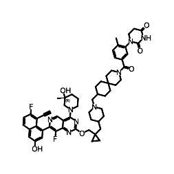 C#Cc1c(F)ccc2cc(O)cc(-c3ncc4c(N5CCC[C@@](C)(O)C5)nc(OCC5(CC6CCN(CC7CCC8(CC7)CCN(C(=O)c7ccc(C)c(N9CCC(=O)NC9=O)c7)CC8)CC6)CC5)nc4c3F)c12